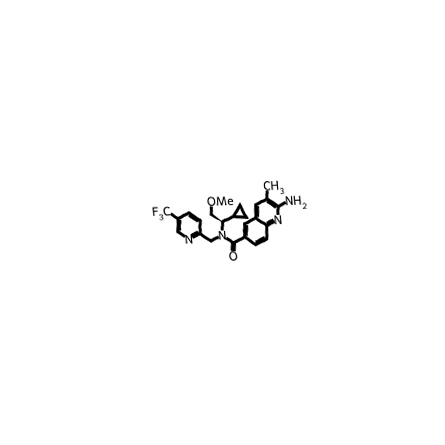 COC[C@@H](C1CC1)N(Cc1ccc(C(F)(F)F)cn1)C(=O)c1ccc2nc(N)c(C)cc2c1